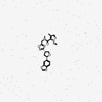 C=Nn1ncc(C)c1C(=O)N(C)Cc1nc([C@@H]2CO[C@@H](c3ccc4ncsc4c3)C2)no1